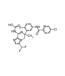 CC1(c2cc(NC(=O)c3ccc(Cl)cn3)ccc2F)Cn2c(C(F)F)cnc2C(NC(=O)O)=N1